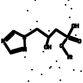 CCOP(=O)(O)CC(O)Cn1cncn1